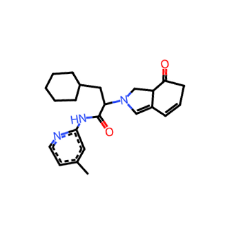 Cc1ccnc(NC(=O)C(CC2CCCCC2)N2C=C3C=CCC(=O)C3C2)c1